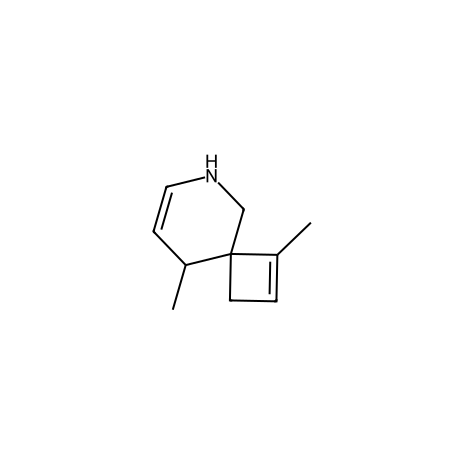 CC1=CCC12CNC=CC2C